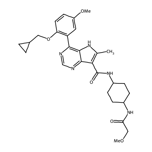 COCC(=O)NC1CCC(NC(=O)c2c(C)[nH]c3c(-c4cc(OC)ccc4OCC4CC4)ncnc23)CC1